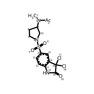 CC(=O)N(C)C1CCN(S(=O)(=O)c2ccc3c(c2)C(Cl)(Cl)C(=O)N3)C1